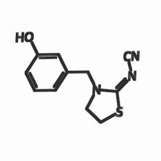 N#C/N=C1/SCCN1Cc1cccc(O)c1